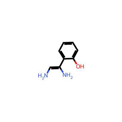 N/C=C(\N)c1ccccc1O